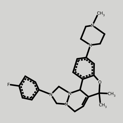 CN1CCN(c2ccc3c(c2)OC(C)(C)C2=CCN4CN(c5ccc(F)cc5)CN4C23)CC1